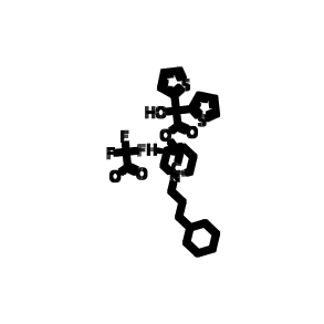 O=C(O[C@H]1C[N+]2(CCCC3CCCCC3)CCC1CC2)C(O)(c1cccs1)c1cccs1.O=C([O-])C(F)(F)F